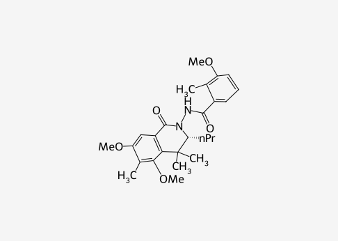 CCC[C@H]1N(NC(=O)c2cccc(OC)c2C)C(=O)c2cc(OC)c(C)c(OC)c2C1(C)C